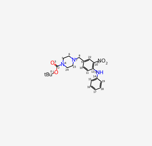 CC(C)(C)OC(=O)N1CCN(Cc2ccc(Nc3ccccc3)c([N+](=O)[O-])c2)CC1